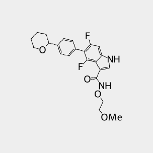 COCCONC(=O)c1c[nH]c2cc(F)c(-c3ccc(C4CCCCO4)cc3)c(F)c12